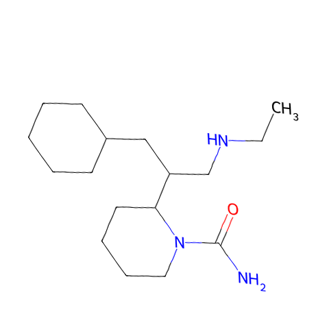 CCNCC(CC1CCCCC1)C1CCCCN1C(N)=O